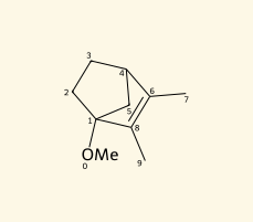 COC12CCC(C1)C(C)=C2C